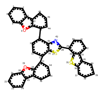 c1ccc2c(c1)oc1c(-c3ccc(-c4cccc5c4oc4ccccc45)c4sc(-c5cccc6c5sc5ccccc56)nc34)cccc12